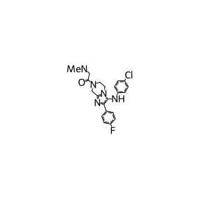 CNCC(=O)N1CCn2c(nc(-c3ccc(F)cc3)c2Nc2ccc(Cl)cc2)C1